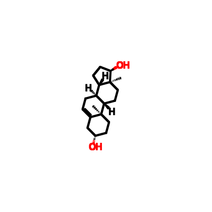 C[C@]12CC[C@H]3[C@@H](CC=C4C[C@@H](O)CC[C@@]43C)[C@@H]1CC[C@H]2O